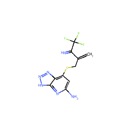 C=C(CSc1cc(N)nc2[nH]nnc12)C(=N)C(F)(F)F